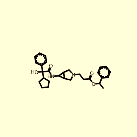 CC(OC(=O)CCN1CC2C(C1)C2NC(=O)C(O)(c1ccccc1)C1CCCC1)c1ccccc1